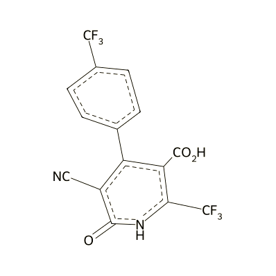 N#Cc1c(-c2ccc(C(F)(F)F)cc2)c(C(=O)O)c(C(F)(F)F)[nH]c1=O